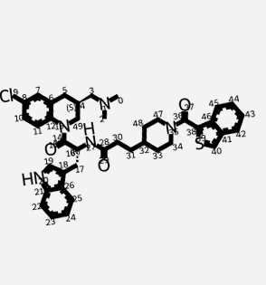 CN(C)C[C@@H]1Cc2cc(Cl)ccc2N(C(=O)[C@@H](Cc2c[nH]c3ccccc23)NC(=O)CCC2CCN(C(=O)c3scc4ccccc34)CC2)C1